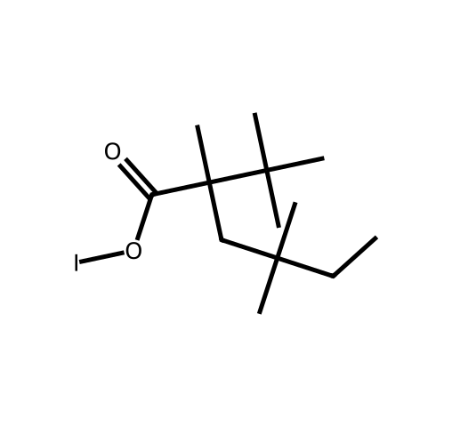 CCC(C)(C)CC(C)(C(=O)OI)C(C)(C)C